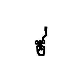 C#CCCOC(=O)N1C2CCC1CC(C)C2